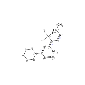 C=N\C(=N/C(N)=C(/C=N\NC)C(F)(F)F)N1CCCCC1